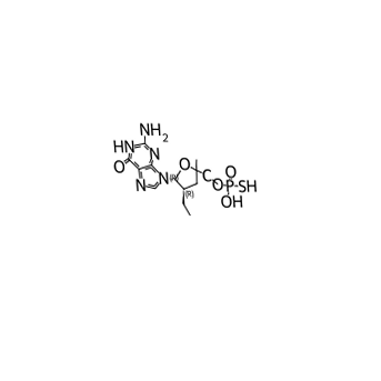 CC[C@@H]1CC(C)(COP(=O)(O)S)O[C@H]1n1cnc2c(=O)[nH]c(N)nc21